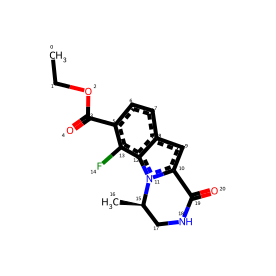 CCOC(=O)c1ccc2cc3n(c2c1F)[C@H](C)CNC3=O